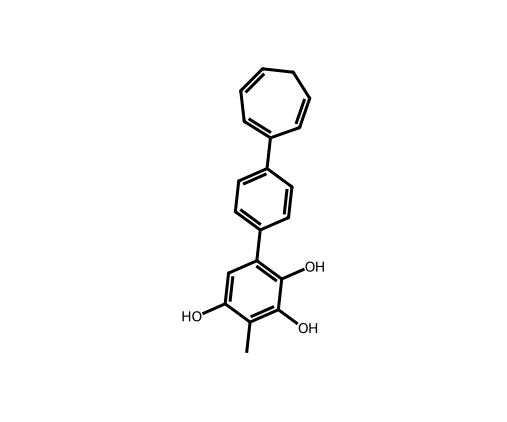 Cc1c(O)cc(-c2ccc(C3=CC=CCC=C3)cc2)c(O)c1O